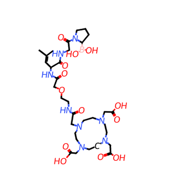 CC(C)=CC(NC(=O)COCCNC(=O)CN1CCN(CC(=O)O)CCN(CC(=O)O)CCN(CC(=O)O)CC1)C(=O)NCC(=O)N1CCC[C@H]1B(O)O